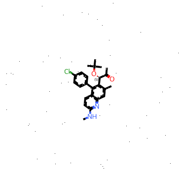 CNc1ccc2c(-c3ccc(Cl)cc3)c([C@H](OC(C)(C)C)C(C)=O)c(C)cc2n1